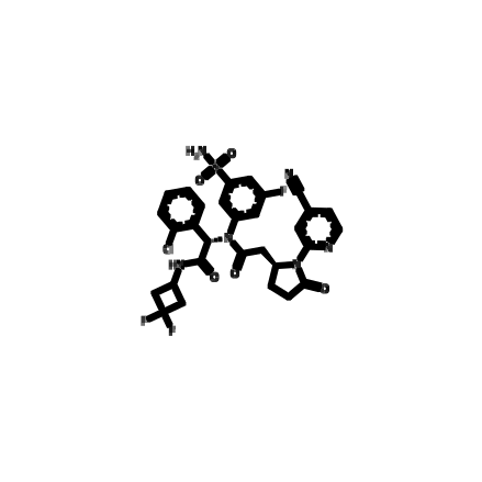 N#Cc1ccnc(N2C(=O)CC[C@H]2CC(=O)N(c2cc(F)cc(S(N)(=O)=O)c2)[C@H](C(=O)NC2CC(F)(F)C2)c2ccccc2Cl)c1